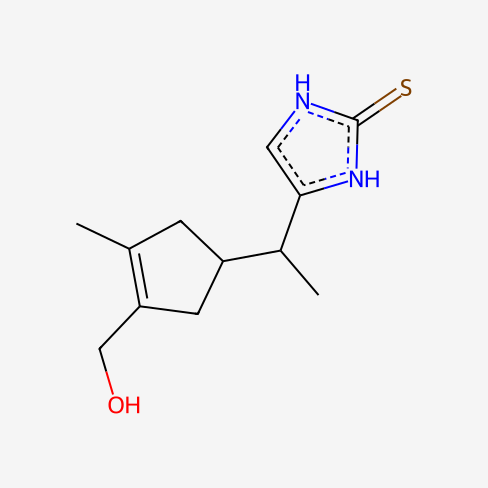 CC1=C(CO)CC(C(C)c2c[nH]c(=S)[nH]2)C1